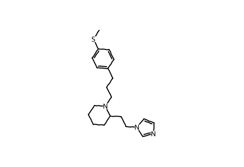 CSc1ccc(CCCN2CCCCC2CCn2ccnc2)cc1